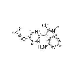 Cn1c(Cl)c(-c2ncc(OC3CC3)cn2)c2c(N)ncnc21